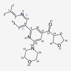 CC(C)=C/N=C\C(=C/I)c1cc(C(=O)C2CCOC2)cc(N2CCOCC2)n1